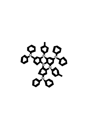 Cc1ccc(N2c3cc(N(c4ccccc4)c4ccccc4)ccc3B3c4ccc(N(c5ccccc5)c5ccccc5)cc4N(c4ccc(C)cc4)c4cc(N(c5ccccc5)c5ccccc5)cc2c43)cc1